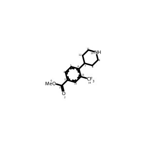 COC(=O)c1ccc(C2CCNCC2)c(C(F)(F)F)c1